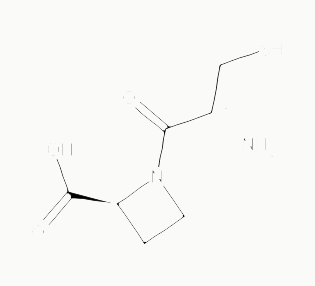 N[C@@H](CS)C(=O)N1CC[C@H]1C(=O)O